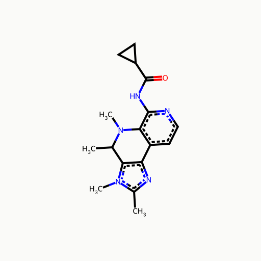 Cc1nc2c(n1C)C(C)N(C)c1c-2ccnc1NC(=O)C1CC1